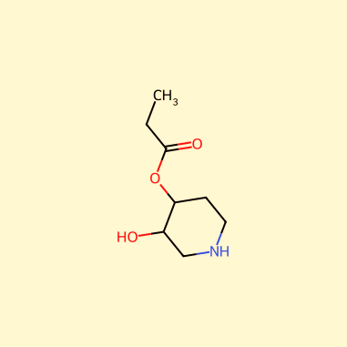 CCC(=O)OC1CCNCC1O